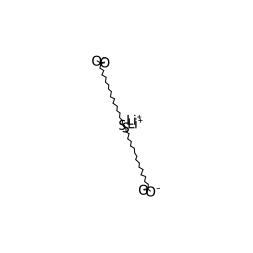 O=C([O-])CCCCCCCCCCCCCCCCSSCCCCCCCCCCCCCCCCC(=O)[O-].[Li+].[Li+]